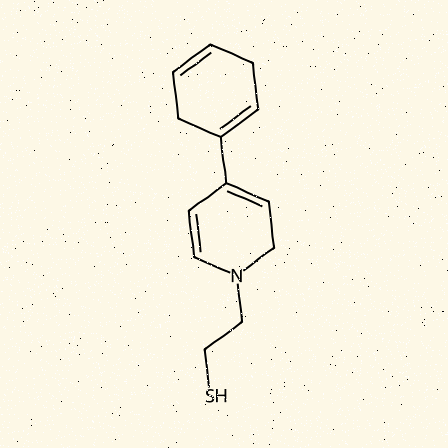 SCCN1C=CC(C2=CCC=CC2)=CC1